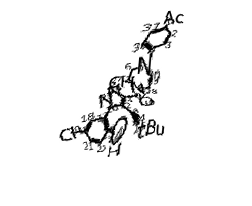 CC(=O)c1ccc(N2CCN(C(=O)c3c(C#CC(C)(C)C)c(-c4cc(Cl)ccc4O)nn3C)CC2)cc1